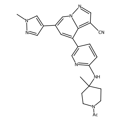 CC(=O)N1CCC(C)(Nc2ccc(-c3cc(-c4cnn(C)c4)cn4ncc(C#N)c34)cn2)CC1